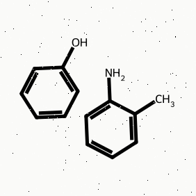 Cc1ccccc1N.Oc1ccccc1